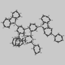 c1ccc(-c2ccc3c(c2)c2ccccc2n3-c2ccc(-c3cc(-n4c5ccccc5c5ccccc54)cc4c3sc3ccccc34)c(-c3nc(-c4ccccc4)nc(-c4ccccc4)n3)c2)cc1